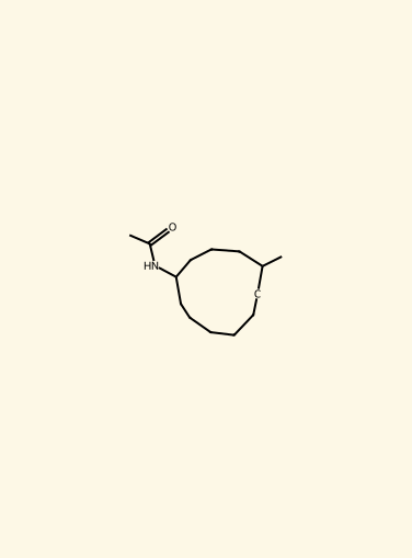 CC(=O)NC1CCCCCCC(C)CCC1